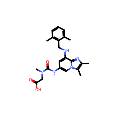 Cc1cccc(C)c1CNc1cc(NC(=O)N(C)CC(=O)O)cn2c(C)c(C)nc12